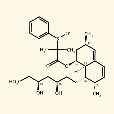 C[C@H]1C=C2C=C[C@H](C)[C@H](CC[C@@H](O)C[C@@H](O)CC(=O)O)[C@H]2[C@@H](OC(=O)C(C)(C)[S+]([O-])c2ccccc2)C1